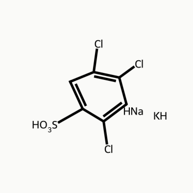 O=S(=O)(O)c1cc(Cl)c(Cl)cc1Cl.[KH].[NaH]